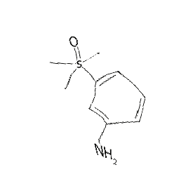 CS(C)(C)(=O)c1cccc(N)c1